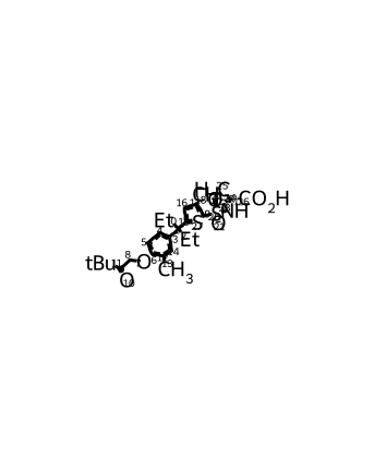 CCC(CC)(c1ccc(OCC(=O)C(C)(C)C)c(C)c1)c1cc(C)c(S(=O)(=O)N[C@H](C)C(=O)O)s1